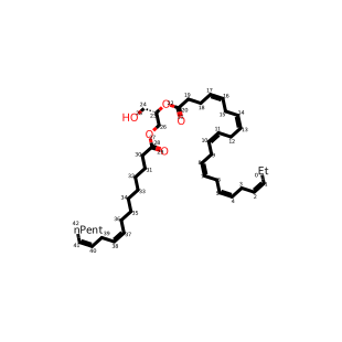 CC/C=C\C/C=C\C/C=C\C/C=C\C/C=C\C/C=C\CCC(=O)O[C@@H](CO)COC(=O)CCCCCCC/C=C\C/C=C\CCCCC